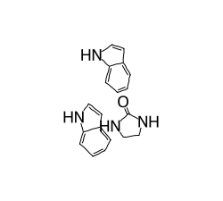 O=C1NCCN1.c1ccc2[nH]ccc2c1.c1ccc2[nH]ccc2c1